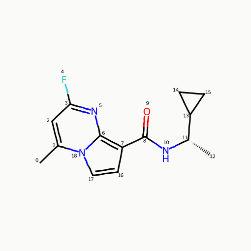 Cc1cc(F)nc2c(C(=O)N[C@@H](C)C3CC3)ccn12